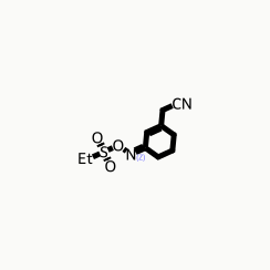 CCS(=O)(=O)O/N=C1\C=C(CC#N)CCC1